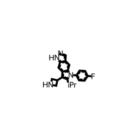 CC(C)c1c(C2CNC2)c2cc3[nH]ncc3cc2n1-c1ccc(F)cc1